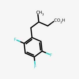 CC(CC(=O)O)Cc1cc(F)c(F)cc1F